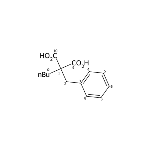 CCCCC(Cc1ccccc1)(C(=O)O)C(=O)O